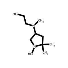 CN(CCO)C1CN(C(C)(C)C)C(C)(C)C1